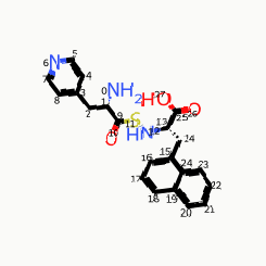 N[C@@H](Cc1ccncc1)C(=O)SN[C@@H](Cc1cccc2ccccc12)C(=O)O